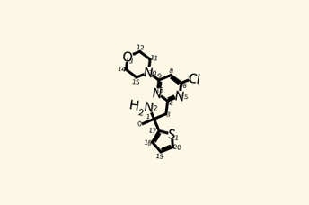 CC(N)(Cc1nc(Cl)cc(N2CCOCC2)n1)c1cccs1